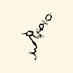 COC(=O)CCCC#Cc1cc(Cl)ccc1NS(=O)(=O)c1ccc(S(=O)(=O)N2CCOCC2)cc1